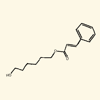 O=C(C=Cc1ccccc1)OCCCCCCO